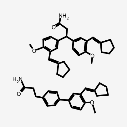 COc1ccc(-c2ccc(CCC(N)=O)cc2)cc1C=C1CCCC1.COc1ccc(C(CC(N)=O)c2ccc(OC)c(C=C3CCCC3)c2)cc1C=C1CCCC1